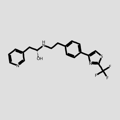 O[C@H](Cc1cccnc1)NCCc1ccc(-c2csc(C(F)(F)F)n2)cc1